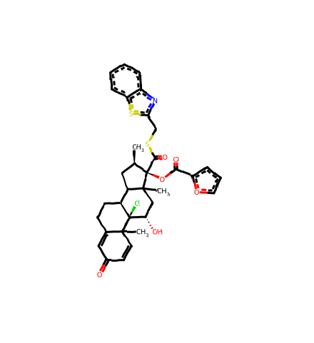 C[C@@H]1CC2C3CCC4=CC(=O)C=CC4(C)[C@@]3(Cl)[C@@H](O)CC2(C)[C@@]1(OC(=O)c1ccco1)C(=O)SCc1nc2ccccc2s1